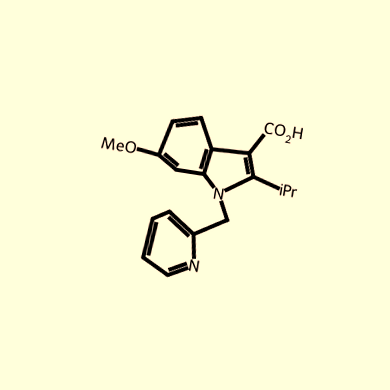 COc1ccc2c(C(=O)O)c(C(C)C)n(Cc3ccccn3)c2c1